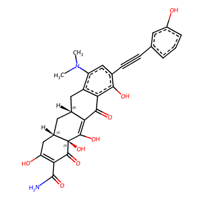 CN(C)c1cc(C#Cc2cccc(O)c2)c(O)c2c1C[C@H]1C[C@H]3CC(O)=C(C(N)=O)C(=O)[C@@]3(O)C(O)=C1C2=O